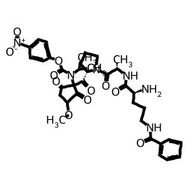 COC1CC(=O)C(C(=O)[C@@H]2CCCN2C(=O)[C@H](C)NC(=O)[C@@H](N)CCCNC(=O)c2ccccc2)(N(C(=O)Oc2ccc([N+](=O)[O-])cc2)C(C)C)C1=O